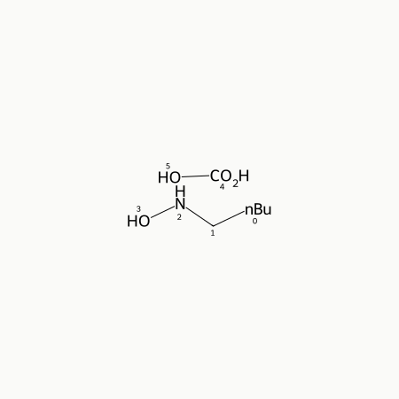 CCCCCNO.O=C(O)O